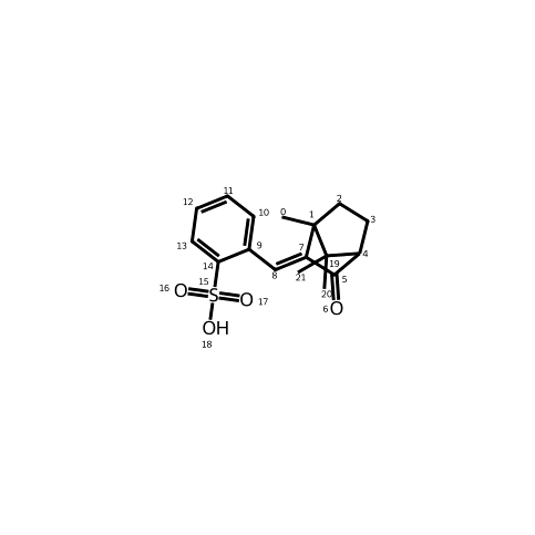 CC12CCC(C(=O)C1=Cc1ccccc1S(=O)(=O)O)C2(C)C